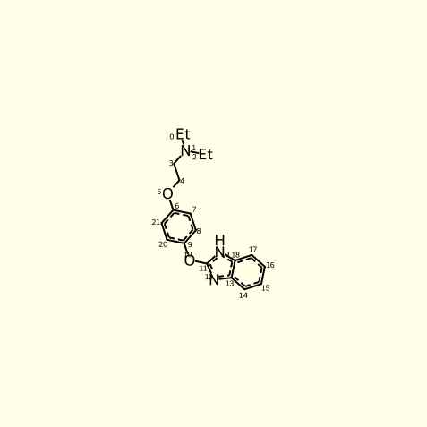 CCN(CC)CCOc1ccc(Oc2nc3ccccc3[nH]2)cc1